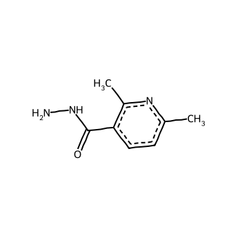 Cc1ccc(C(=O)NN)c(C)n1